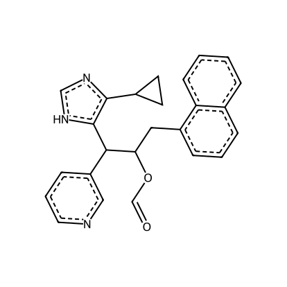 O=COC(Cc1cccc2ccccc12)C(c1cccnc1)c1[nH]cnc1C1CC1